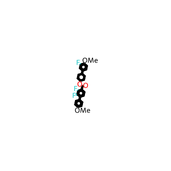 COc1ccc(-c2ccc(C(=O)OC3CCC(c4ccc(OC)c(F)c4)CC3)c(F)c2F)cc1